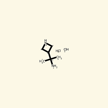 CC(C)(N)C1CNC1.Cl.Cl